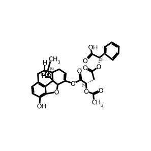 CC(=O)O[C@@H](CC(=O)O[C@H](C(=O)O)c1ccccc1)C(=O)OC1=CC[C@@]2(O)[C@H]3Cc4ccc(O)c5c4C2(CCN3C)C1O5